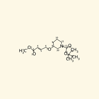 COC(=O)C=CCOC1CCCN(C(=O)OC(C)(C)C)C1